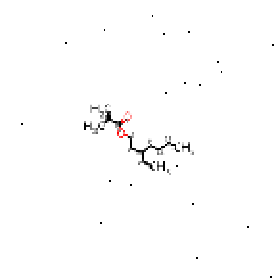 C=C(C)C(=O)OCCC(CC)CCCC